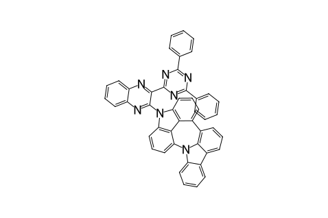 c1ccc(-c2nc(-c3ccccc3)nc(-c3nc4ccccc4nc3-n3c4cccc5c6cccc7c8ccccc8n(c8cccc3c8c54)c67)n2)cc1